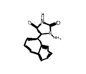 NN1C(=O)NC(=O)C1c1cccc2ccccc12